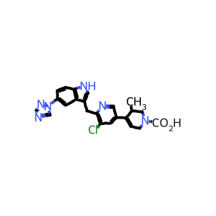 CC1CN(C(=O)O)CC=C1c1cnc(Cc2c[nH]c3ccc(-n4cncn4)cc23)c(Cl)c1